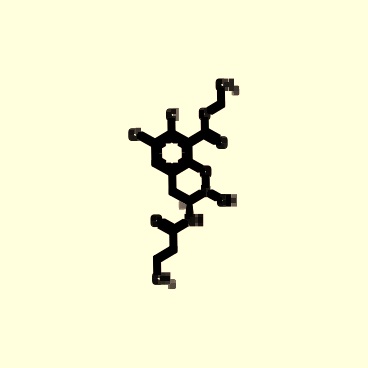 CCCC(=O)N[C@H]1Cc2cc(Cl)c(Cl)c(C(=O)OCC)c2OB1O